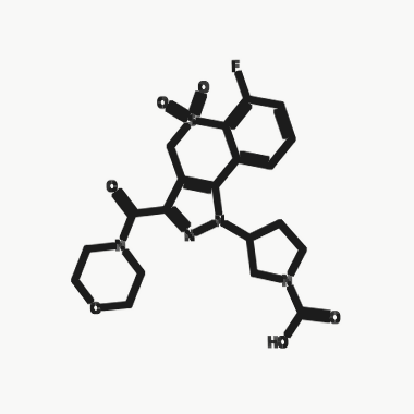 O=C(O)N1CCC(n2nc(C(=O)N3CCOCC3)c3c2-c2cccc(F)c2S(=O)(=O)C3)C1